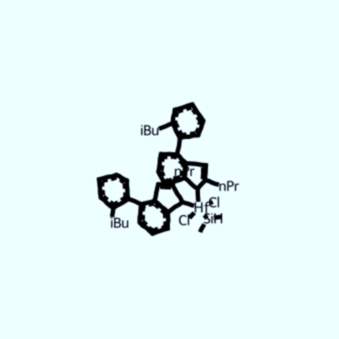 CCCC1=Cc2c(-c3ccccc3C(C)CC)cccc2[CH]1[Hf]([Cl])([Cl])([CH]1C(CCC)=Cc2c(-c3ccccc3C(C)CC)cccc21)[SiH](C)C